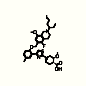 CCC(CCI)N1CCc2c(F)c(COc3ccc(C)cc3-c3csc(N4CC[C@@H](C(=O)O)[C@@H](OC)C4)n3)cc(OC)c2C1